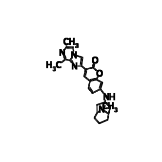 Cc1cn2cc(-c3cc4ccc(NC5CC6CCCC(C5)N6C)cc4oc3=O)nc2c(C)n1